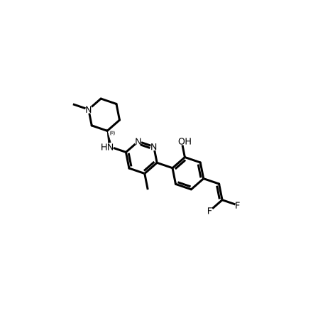 Cc1cc(N[C@@H]2CCCN(C)C2)nnc1-c1ccc(C=C(F)F)cc1O